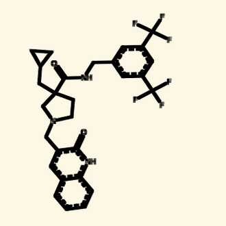 O=C(NCc1cc(C(F)(F)F)cc(C(F)(F)F)c1)C1(CC2CC2)CCN(Cc2cc3ccccc3[nH]c2=O)C1